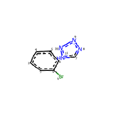 Brc1ccccc1.c1nnn[nH]1